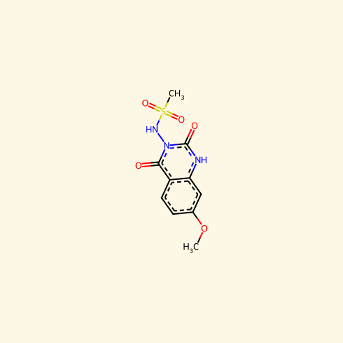 COc1ccc2c(=O)n(NS(C)(=O)=O)c(=O)[nH]c2c1